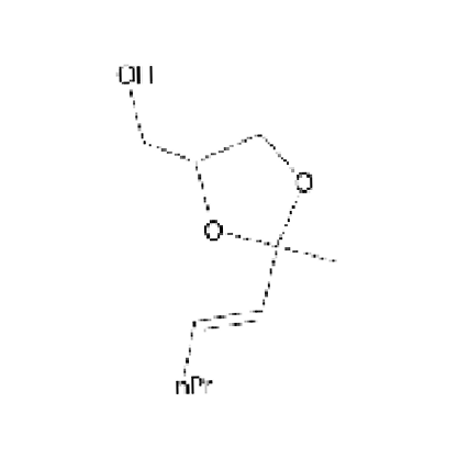 CCCC=CC1(C)OCC(CO)O1